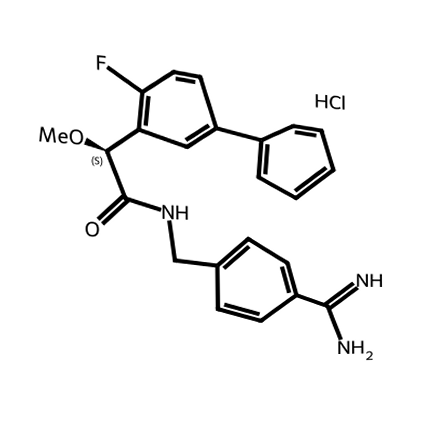 CO[C@H](C(=O)NCc1ccc(C(=N)N)cc1)c1cc(-c2ccccc2)ccc1F.Cl